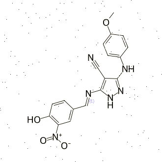 COc1ccc(Nc2n[nH]c(/N=C/c3ccc(O)c([N+](=O)[O-])c3)c2C#N)cc1